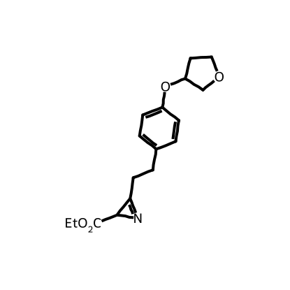 CCOC(=O)C1N=C1CCc1ccc(OC2CCOC2)cc1